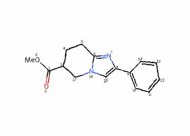 COC(=O)C1CCc2nc(-c3ccccc3)cn2C1